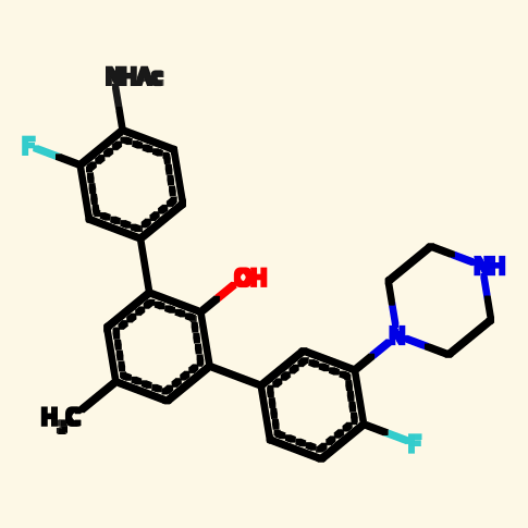 CC(=O)Nc1ccc(-c2cc(C)cc(-c3ccc(F)c(N4CCNCC4)c3)c2O)cc1F